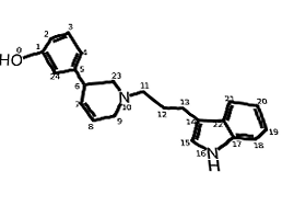 Oc1cccc(C2C=CCN(CCCc3c[nH]c4ccccc34)C2)c1